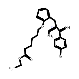 CCOC(=O)CCCCCOc1ccccc1C/C(=C/N)C(=N)c1ccc(Br)cc1